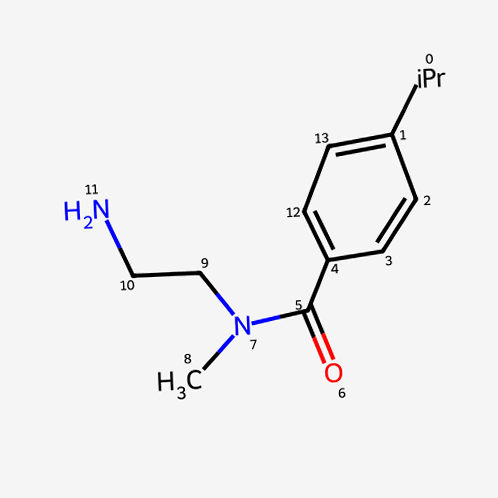 CC(C)c1ccc(C(=O)N(C)CCN)cc1